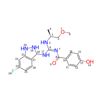 COC[C@H](C)N/C(=N/C(=O)c1ccc(O)cc1)NC1NNc2cc(F)ccc21